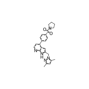 Cc1cc(C)n(Cc2cc3c(-c4ccc(S(=O)(=O)N5CCCC5)cc4)ccnc3[nH]2)n1